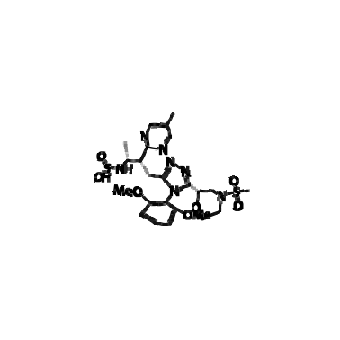 COc1cccc(OC)c1-n1c(C[C@@H](c2ncc(C)cn2)[C@@H](C)N[SH](=O)=O)nnc1[C@@H]1CN(S(C)(=O)=O)CCO1